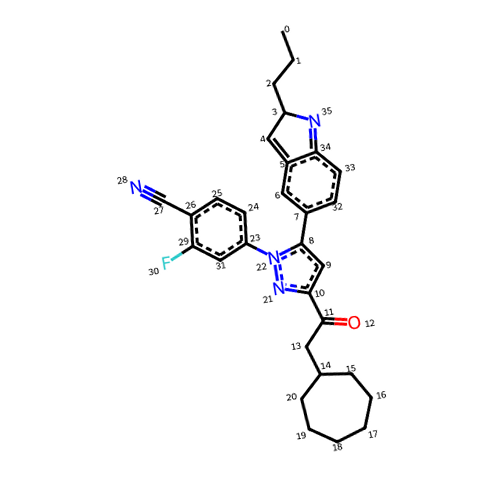 CCCC1C=c2cc(-c3cc(C(=O)CC4CCCCCC4)nn3-c3ccc(C#N)c(F)c3)ccc2=N1